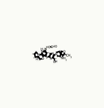 C[C@@H]1OCC2(CCN(c3ncc(Sc4cc(N)nc5c4OC[C@@H]4CCCN54)nc3CO)CC2)[C@@H]1N.O=CO